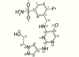 NS(=O)(=O)c1ccc(F)c(CNc2nc(Nc3cnn(CCO)c3)ncc2Cl)c1